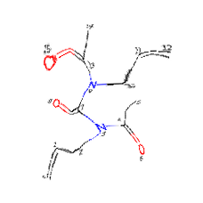 C=CCN(C(C)=O)C(=O)N(CC=C)C(C)=O